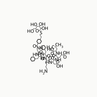 CC(C)CC(NC(=O)C(CCC(=O)O)NC(=O)C(CC(=O)O)NC(=O)C(CCCCN)NC(=O)C(Cc1ccccc1)NC(=O)C(Cc1ccccc1)NC(=O)CNC(=O)c1ccc(CCSC2OC(CO)C(O)C(O)C2O)cc1)C(=O)O